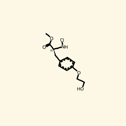 COC(=O)[C@H](Cc1ccc(OCCO)cc1)NCl